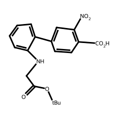 CC(C)(C)OC(=O)CNc1ccccc1-c1ccc(C(=O)O)c([N+](=O)[O-])c1